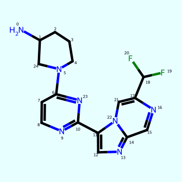 NC1CCCN(c2ccnc(-c3cnc4cnc(C(F)F)cn34)n2)C1